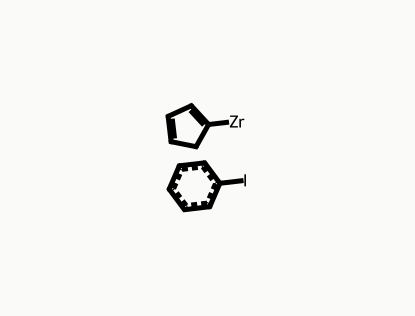 Ic1ccccc1.[Zr][C]1=CC=CC1